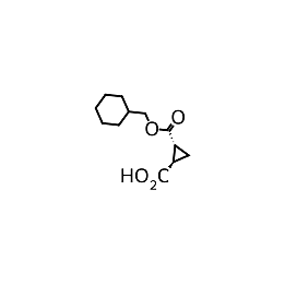 O=C(O)[C@@H]1C[C@H]1C(=O)OCC1CCCCC1